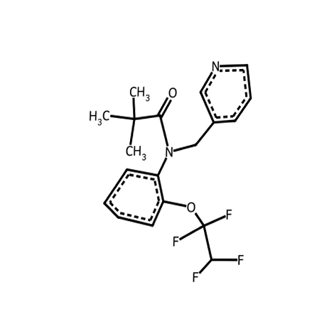 CC(C)(C)C(=O)N(Cc1cccnc1)c1ccccc1OC(F)(F)C(F)F